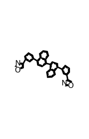 c1cc(-c2cocn2)cc(-c2ccc(-c3ccc(-c4cccc(-c5cocn5)c4)c4ccccc34)c3ccccc23)c1